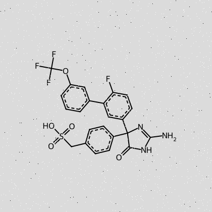 NC1=NC(c2ccc(CS(=O)(=O)O)cc2)(c2ccc(F)c(-c3cccc(OC(F)(F)F)c3)c2)C(=O)N1